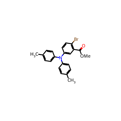 COC(=O)c1cc(N(c2ccc(C)cc2)c2ccc(C)cc2)ccc1Br